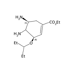 CCOC(=O)C1=C[C@@H](OC(CC)CC)C(N)[C@@H](N)C1